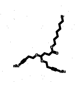 CCCCC#CCCOC(CCC(=O)OCCCCCCCBr)OCCC#CCCCC